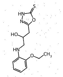 CCOc1ccccc1NCC(O)Cc1n[nH]c(=S)o1